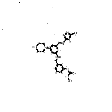 CCc1nnc(SCc2cc(N3CCOCC3)cc(NCc3cccc(NC(=O)OC(C)C)c3)n2)s1